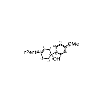 CCCCCC1=CCC(O)(c2ccc(OC)cc2)CC1